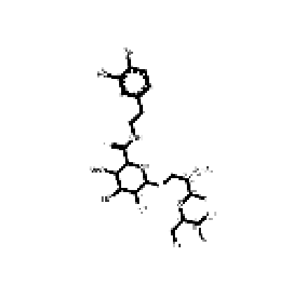 COC1C(C(=O)NCCc2ccc(O)c(O)c2)OC(OC[C@H](NC(C)=O)C(C)OC(CO)[C@H](C)O)C(O)C1O